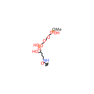 COP(O)OCCOCCOCCOP(O)OCC(CO)CCCCNC(=O)C12CC1C2